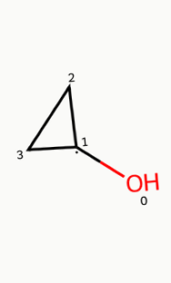 O[C]1CC1